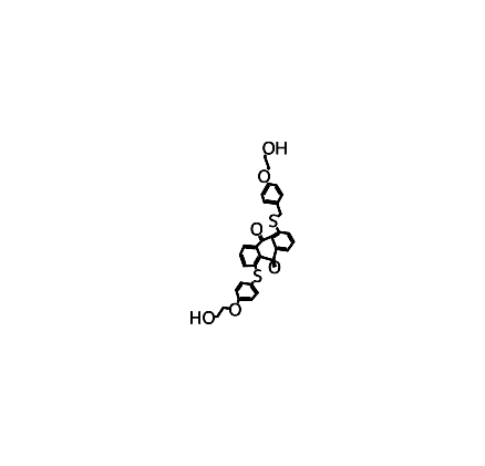 O=C1c2cccc(Sc3ccc(OCCO)cc3)c2C(=O)c2cccc(SCc3ccc(OCCO)cc3)c21